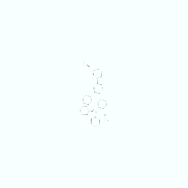 N#Cc1ccc2sc3ccc(-c4ccccc4-c4cccc(C#N)c4-n4c5ccccc5c5ccccc54)cc3c2c1